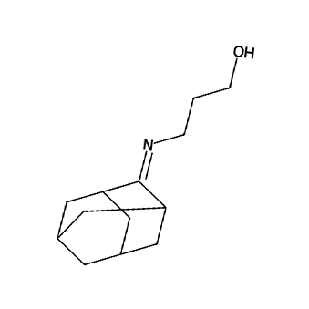 OCCCN=C1C2CC3CC(C2)CC1C3